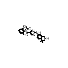 Cc1cccc(Cl)c1N1C(=O)c2cnc(Nc3ccc4c(c3)CNCC4(C)C)nc2OC1C